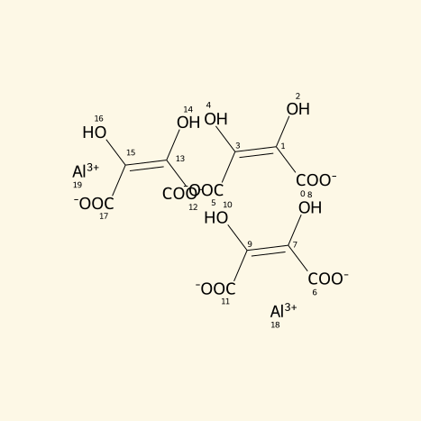 O=C([O-])/C(O)=C(/O)C(=O)[O-].O=C([O-])/C(O)=C(/O)C(=O)[O-].O=C([O-])/C(O)=C(/O)C(=O)[O-].[Al+3].[Al+3]